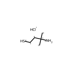 CC(C)(N)CCS.Cl